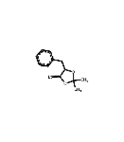 [CH2]CC1OC(C)(C)OC1Cc1ccccc1